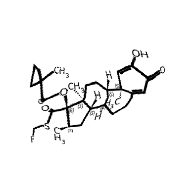 C[C@@H]1C[C@H]2[C@@H]3CCC4=CC(=O)C(O)=C[C@]4(C)[C@H]3CC[C@]2(C)[C@@]1(OC(=O)C1(C)CC1)C(=O)SCF